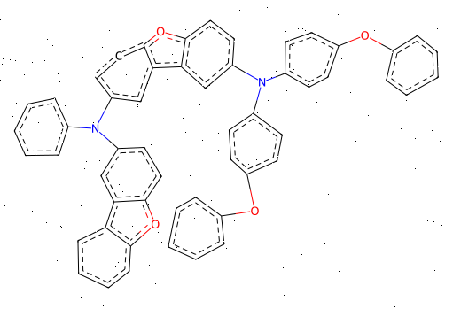 c1ccc(Oc2ccc(N(c3ccc(Oc4ccccc4)cc3)c3ccc4oc5ccc(N(c6ccccc6)c6ccc7oc8ccccc8c7c6)cc5c4c3)cc2)cc1